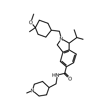 COC1(C)CCC(CN2Cc3cc(C(=O)NCC4CCN(C)CC4)ccc3C2C(C)C)CC1